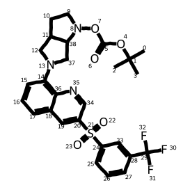 CC(C)(C)OC(=O)ON1CCC2CN(c3cccc4cc(S(=O)(=O)c5cccc(C(F)(F)F)c5)cnc34)CC21